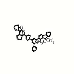 CC1(C)c2ccccc2-c2ccc(-c3cc(-c4ccc(-c5nc6oc7ccccc7c6c6ccccc56)cc4)cc(-c4ccccc4)n3)cc21